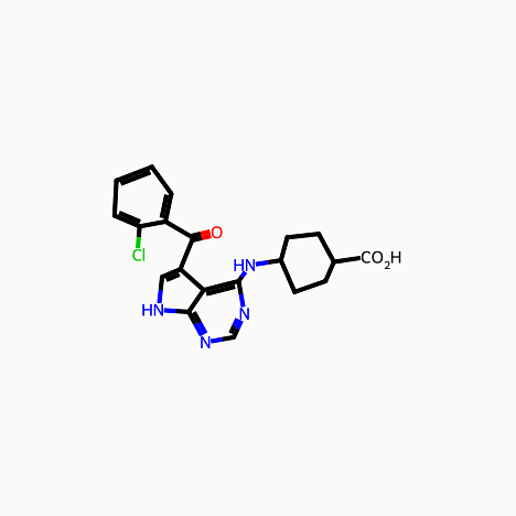 O=C(c1ccccc1Cl)c1c[nH]c2ncnc(NC3CCC(C(=O)O)CC3)c12